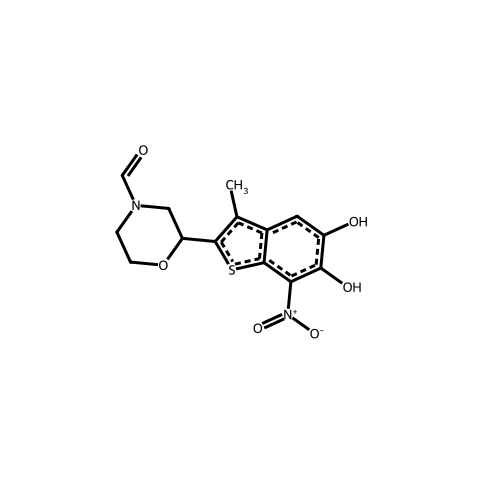 Cc1c(C2CN(C=O)CCO2)sc2c([N+](=O)[O-])c(O)c(O)cc12